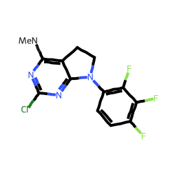 CNc1nc(Cl)nc2c1CCN2c1ccc(F)c(F)c1F